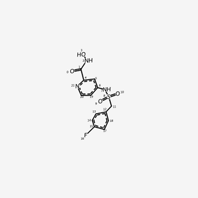 O=C(NO)c1cc(NS(=O)(=O)Cc2ccc(F)cc2)ccn1